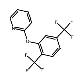 FC(F)(F)c1ccc(C(F)(F)F)c(Oc2ccc[c]n2)c1